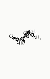 Cl.Cl.Cn1nc2c(=O)n(CC3(O)CCN(Cc4ccc(-c5ccc(Cl)s5)cc4Cl)CC3)cnc2c1-c1ccc(CN)cc1